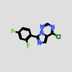 Fc1ccc(-c2ncc3c(Cl)ncnn23)c(F)c1